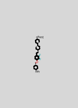 CCCCC[C@H]1CC[C@H]([C@H]2CC[C@H](CCc3ccc(OC[C@H]4CC[C@H](CCC)CC4)c(F)c3F)CC2)CC1